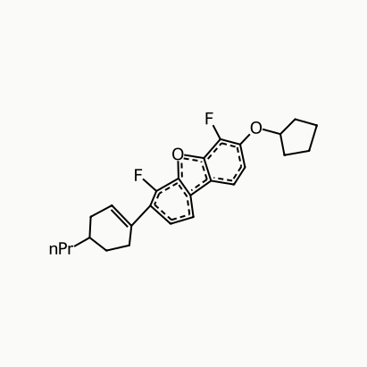 CCCC1CC=C(c2ccc3c(oc4c(F)c(OC5CCCC5)ccc43)c2F)CC1